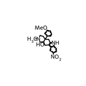 COc1cccc(C23CCN(C)CC2(O)Cc2c([nH]c4ccc([N+](=O)[O-])cc24)C3)c1